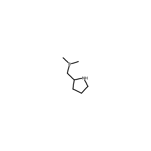 CB(C)CC1CCCN1